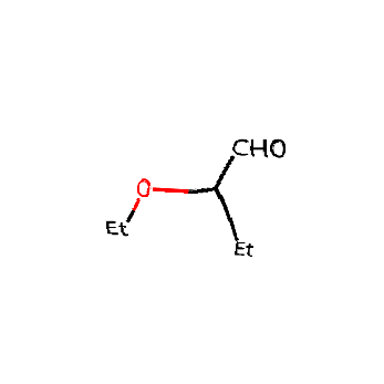 CCOC(C=O)CC